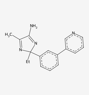 CCC1(c2cccc(-c3cccnc3)c2)N=C(C)C(N)=N1